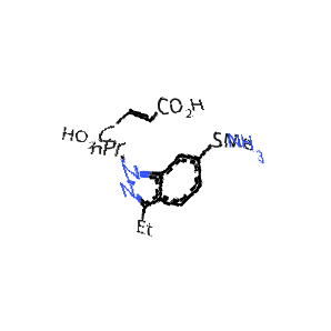 CCCn1nc(CC)c2ccc(SC)cc21.N.O=C(O)C=CC(=O)O